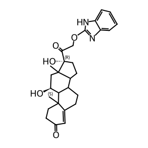 CC12CCC(=O)C=C1CCC1C2[C@@H](O)CC2(C)C1CC[C@]2(O)C(=O)COc1nc2ccccc2[nH]1